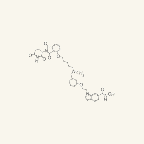 CN(CCCCCOc1cccc2c1C(=O)N(C1CCC(=O)NC1=O)C2=O)Cc1cccc(OCCn2ccc3ccc(C(=O)NO)cc32)c1